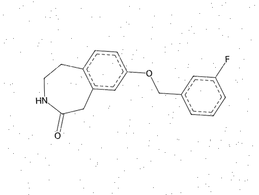 O=C1Cc2cc(OCc3cccc(F)c3)ccc2CCN1